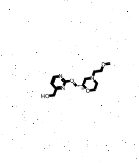 COCCN1CCO[C@H](COc2nccc(CO)n2)C1